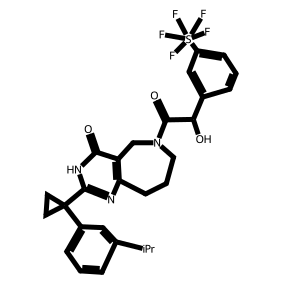 CC(C)c1cccc(C2(c3nc4c(c(=O)[nH]3)CN(C(=O)C(O)c3cccc(S(F)(F)(F)(F)F)c3)CCC4)CC2)c1